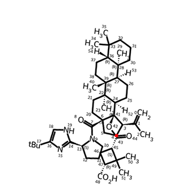 C=C(C)[C@H]1CC[C@]2(C(=O)N3CCC[C@H]3c3nc(C(C)(C)C)c[nH]3)CC[C@]3(C)[C@@H](CC[C@@H]4[C@]5(C)CCCC(C)(C)[C@H]5CC[C@]43C)[C@]12OC(=O)[C@H]1C[C@@H](C(=O)O)C1(C)C